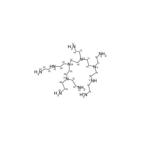 NCCNCCN(CCN)CCN(CCN)CCN(CCNCCN)CCN(CCN)CCN